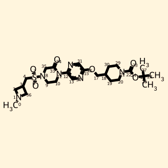 CN1CC(CS(=O)(=O)N2CCN(c3cnc(OCC4CCN(C(=O)OC(C)(C)C)CC4)cn3)C(=O)C2)C1